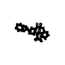 C=C/C=C\c1c(CS(=O)(=O)Nc2cccc(-c3nc4ccncc4s3)c2)cccc1N(C)C